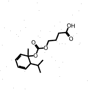 CC(C)C1C=CC=CC1(C)OC(=O)OCCCC(=O)O